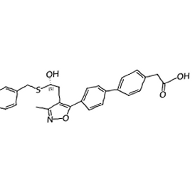 Cc1noc(-c2ccc(-c3ccc(CC(=O)O)cc3)cc2)c1C[C@@H](O)SCc1ccccc1